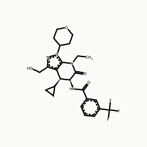 CCN1C(=O)[C@@H](NC(=O)c2cccc(C(F)(F)F)c2)[C@@H](C2CC2)c2c(CO)nn(C3CCOCC3)c21